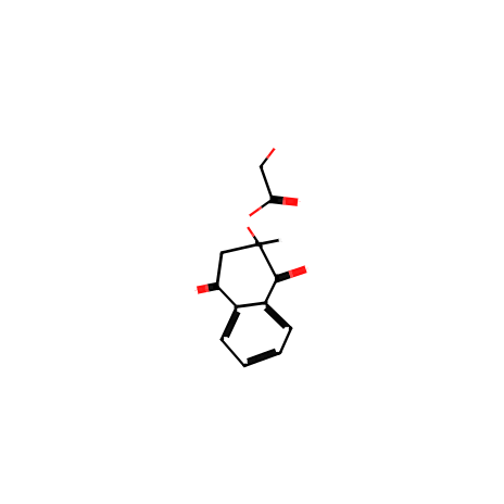 CC1(OC(=O)CO)CC(=O)c2ccccc2C1=O